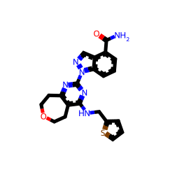 NC(=O)c1cccc2c1cnn2-c1nc2c(c(NCc3cccs3)n1)CCOCC2